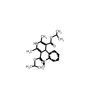 CC1=C(C(=O)OC(C)C)C(c2ccccc2[N+](=O)[O-])C(C(=O)OC(C)C)=C(C)N1